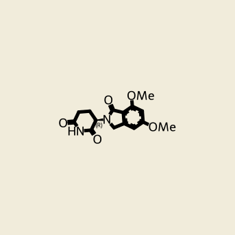 COc1cc2c(c(OC)c1)C(=O)N([C@@H]1CCC(=O)NC1=O)C2